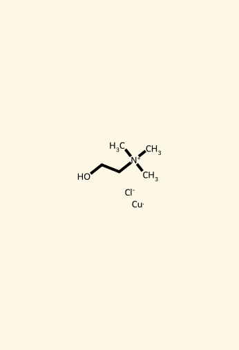 C[N+](C)(C)CCO.[Cl-].[Cu]